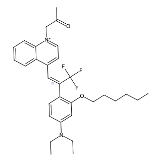 CCCCCCOc1cc(N(CC)CC)ccc1/C(=C/c1cc[n+](CC(C)=O)c2ccccc12)C(F)(F)F